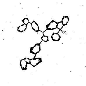 CC1(c2ccccc2)c2ccccc2-c2ccc(N(c3ccc(-c4cccc5ccccc45)cc3)c3cccc(-c4cccc(-c5cccc6c5sc5ccccc56)c4)c3)cc21